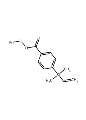 C=C[Si](C)(C)c1ccc(C(=O)OO[C](C)C)cc1